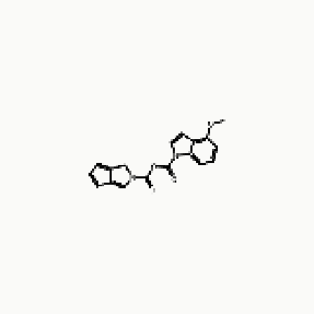 COc1cccc2c1ccn2C(=O)OC(=O)N1C=C2C=CC=C2C1